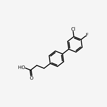 O=C(O)CCc1ccc(-c2ccc(F)c(Cl)c2)cc1